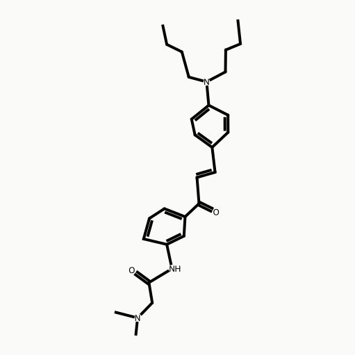 CCCCN(CCCC)c1ccc(C=CC(=O)c2cccc(NC(=O)CN(C)C)c2)cc1